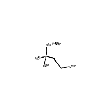 Br.CCCCCCCCCCCC[P](CCCC)(CCCC)CCCC